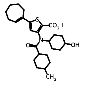 CC1CCC(C(=O)N(c2cc(C3=CCCCCC3)sc2C(=O)O)C2CCC(O)CC2)CC1